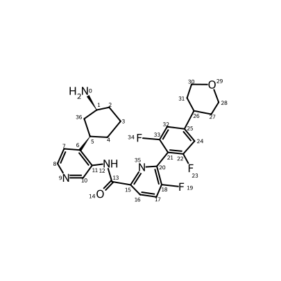 N[C@H]1CCC[C@@H](c2ccncc2NC(=O)c2ccc(F)c(-c3c(F)cc(C4CCOCC4)cc3F)n2)C1